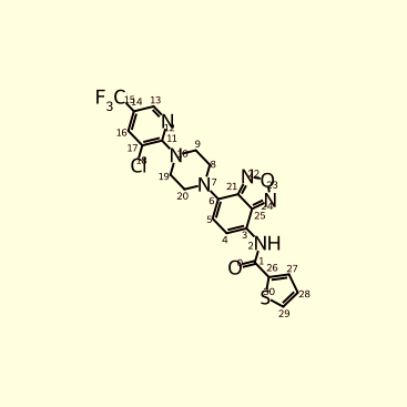 O=C(Nc1ccc(N2CCN(c3ncc(C(F)(F)F)cc3Cl)CC2)c2nonc12)c1cccs1